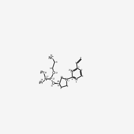 C=Cc1ccnc(N2CC[C@@H](OP(OCCC#N)N(C(C)C)C(C)C)C2)n1